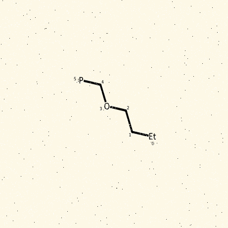 CCCCOC[P]